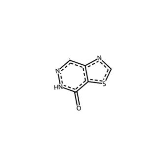 O=c1[nH]n[c]c2ncsc12